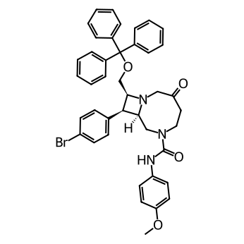 COc1ccc(NC(=O)N2CCC(=O)CN3[C@H](COC(c4ccccc4)(c4ccccc4)c4ccccc4)[C@H](c4ccc(Br)cc4)[C@@H]3C2)cc1